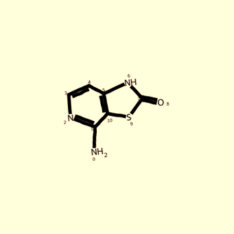 Nc1nccc2[nH]c(=O)sc12